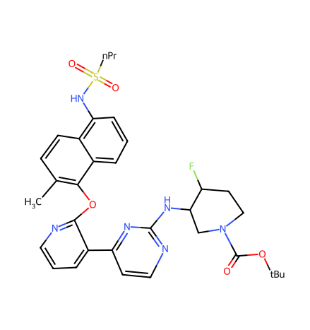 CCCS(=O)(=O)Nc1cccc2c(Oc3ncccc3-c3ccnc(NC4CN(C(=O)OC(C)(C)C)CCC4F)n3)c(C)ccc12